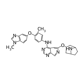 Cc1cc(Nc2ncnc3cnc(OC4CC5CCC(C4)N5)cc23)ccc1Oc1ccc2c(c1)ncn2C